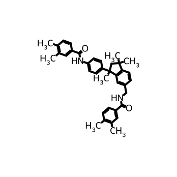 Cc1ccc(C(=O)NCc2ccc3c(c2)C(C)(c2ccc(NC(=O)c4ccc(C)c(C)c4)cc2)CC3(C)C)cc1C